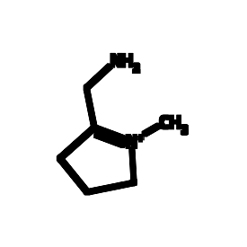 C[N+]1=C(CN)CCC1